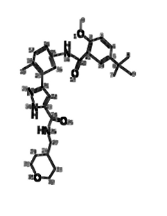 COc1ccc(C(C)(C)C)cc1C(=O)Nc1ccc(C)c(-c2cc(C(=O)NCC3CCOCC3)[nH]n2)c1